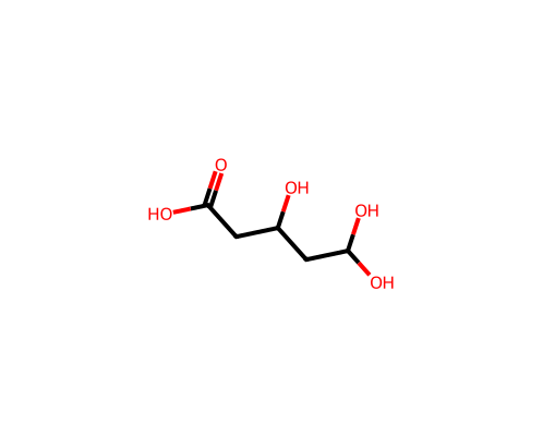 O=C(O)CC(O)CC(O)O